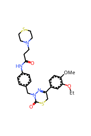 CCOc1cc(C2=NN(Cc3ccc(NC(=O)CCN4CCSCC4)cc3)C(=O)SC2)ccc1OC